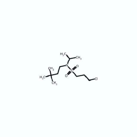 CC(C)N(CCC(C)(C)C)S(=O)(=O)CCCCl